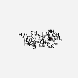 CC(C)[C@@H](C)[C@@]1(C)CC[C@]2(C)[C@H]3CC[C@@H]4[C@@]5(COC[C@@]4(C)[C@@H](O)[C@H](NN)C5)C3=CC[C@@]2(C)[C@@H]1C(=O)O